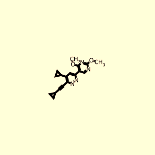 COc1ncc(-c2cc(C3CC3)c(C#CC3CC3)nn2)c(OC)n1